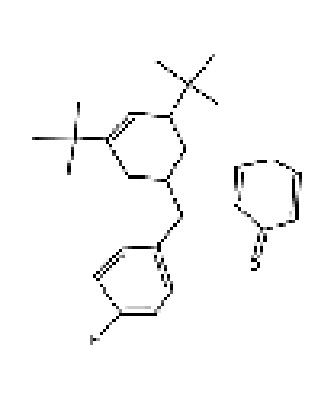 CC(C)(C)C1=CC(C(C)(C)C)CC(Cc2ccc(F)cc2)C1.O=C1C=CCC=C1